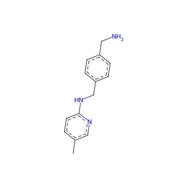 Cc1ccc(NCc2ccc(CN)cc2)nc1